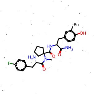 CN(C(=O)[C@@H](N)Cc1ccc(F)cc1)C1(C(=O)NC(Cc2ccc(O)c(C(C)(C)C)c2)C(N)=O)CCCC1